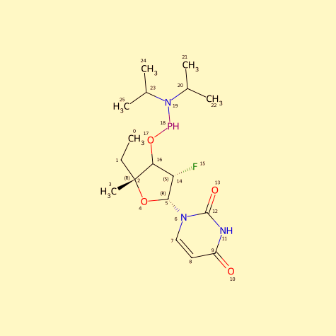 CC[C@@]1(C)O[C@@H](n2ccc(=O)[nH]c2=O)[C@@H](F)C1OPN(C(C)C)C(C)C